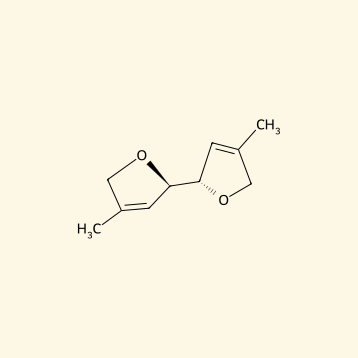 CC1=C[C@@H]([C@H]2C=C(C)CO2)OC1